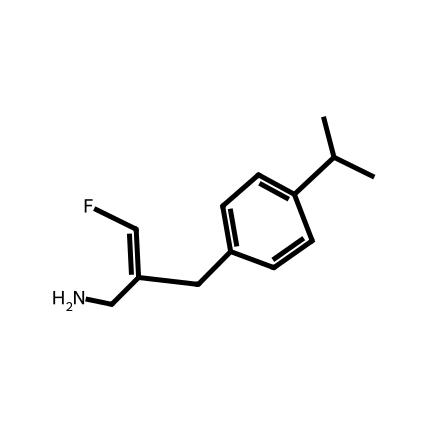 CC(C)c1ccc(CC(=CF)CN)cc1